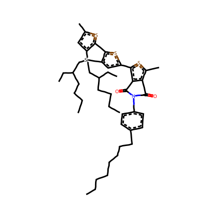 CCCCCCCCc1ccc(N2C(=O)c3c(C)sc(-c4cc5c(s4)-c4sc(C)cc4[Si]5(CC(CC)CCCC)CC(CC)CCCC)c3C2=O)cc1